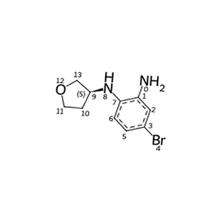 Nc1cc(Br)ccc1N[C@H]1CCOC1